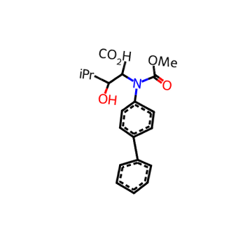 COC(=O)N(c1ccc(-c2ccccc2)cc1)C(C(=O)O)C(O)C(C)C